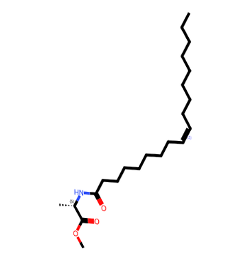 CCCCCCCC/C=C\CCCCCCCC(=O)N[C@@H](C)C(=O)OC